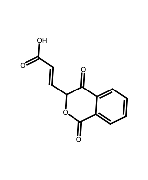 O=C(O)C=CC1OC(=O)c2ccccc2C1=O